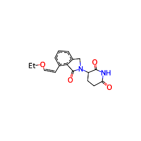 CCO/C=C\c1cccc2c1C(=O)N(C1CCC(=O)NC1=O)C2